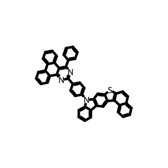 c1ccc(-c2nc(-c3ccc(-n4c5ccccc5c5cc6c(cc54)sc4ccc5ccccc5c46)cc3)nc3c4ccccc4c4ccccc4c23)cc1